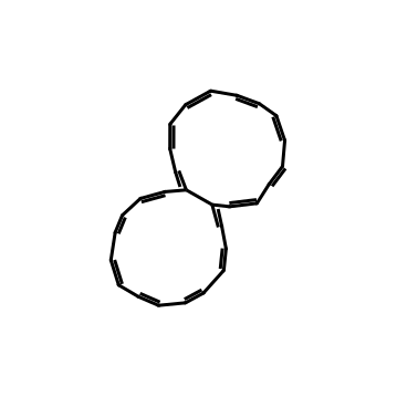 C1=CC=CC=CC=C2C=CC=CC=CC=CC=CC=CC=C2C=CC=CC=C1